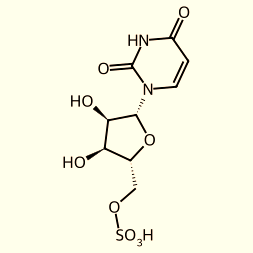 O=c1ccn([C@@H]2O[C@H](COS(=O)(=O)O)[C@@H](O)[C@H]2O)c(=O)[nH]1